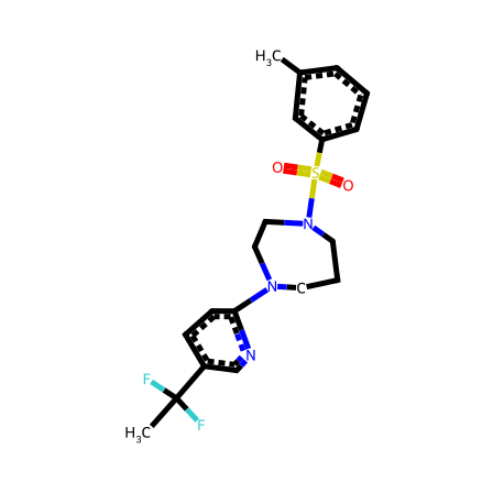 Cc1cccc(S(=O)(=O)N2CCCN(c3ccc(C(C)(F)F)cn3)CC2)c1